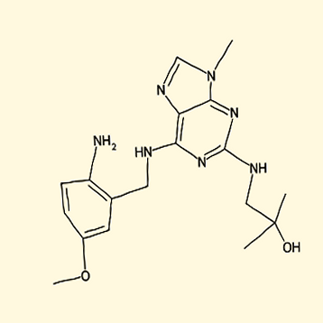 COc1ccc(N)c(CNc2nc(NCC(C)(C)O)nc3c2ncn3C)c1